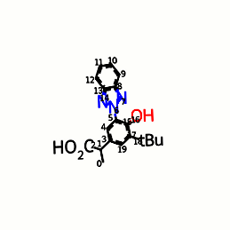 CC(C(=O)O)c1cc(-n2nc3ccccc3n2)c(O)c(C(C)(C)C)c1